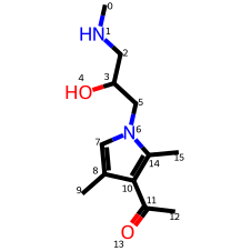 CNCC(O)Cn1cc(C)c(C(C)=O)c1C